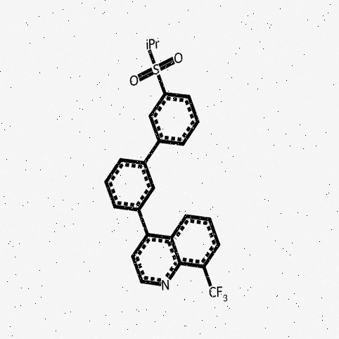 CC(C)S(=O)(=O)c1cccc(-c2cccc(-c3ccnc4c(C(F)(F)F)cccc34)c2)c1